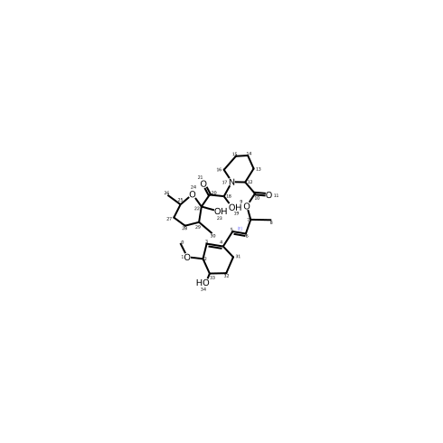 COC1C=C(/C=C/C(C)OC(=O)C2CCCCN2C(O)C(=O)C2(O)OC(C)CCC2C)CCC1O